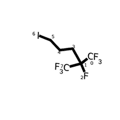 FC(F)(F)C(F)(CCCI)C(F)(F)F